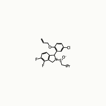 C=CCOc1ccc(Cl)cc1C1c2ccc(F)c(F)c2CN1[S+]([O-])CC(C)C